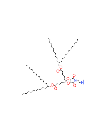 CCCCCCCCCCCCC(CCCCCCCCCCC)COC(=O)CCCCC1(CCCCC(=O)OCC(CCCCCCCCCCC)CCCCCCCCCCCC)OC2C(=O)N(CCN(C)C)C(=O)C2O1